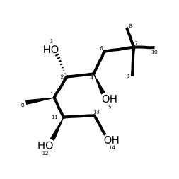 C[C@@H]([C@H](O)[C@H](O)CC(C)(C)C)[C@H](O)CO